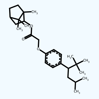 CC(C)CC(c1ccc(OCC(=O)OC2CC3CCC2(C)C3(C)C)cc1)C(C)(C)C